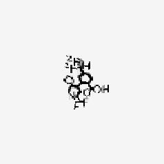 [2H]C([2H])([2H])c1ccc(C(=O)O)c(-c2cc(C(F)F)ncc2OC)c1